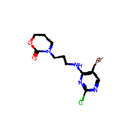 O=C1OCCCN1CCCNc1nc(Cl)ncc1Br